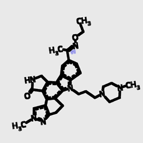 CCO/N=C(\C)c1ccc2c(c1)c1c3c(c4c(c1n2CCCN1CCN(C)CC1)CCc1nn(C)cc1-4)C(=O)NC3